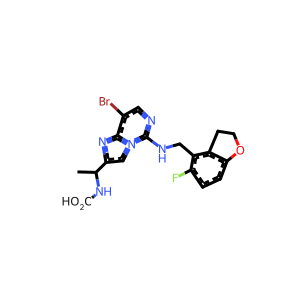 CC(NC(=O)O)c1cn2c(NCc3c(F)ccc4c3CCO4)ncc(Br)c2n1